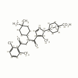 CC1(C)CCC(N(CC(=O)c2c(Cl)cccc2C(F)(F)F)C(=O)c2cnn(C34CCC(C(=O)O)(CC3)CC4)c2C(F)(F)F)CC1